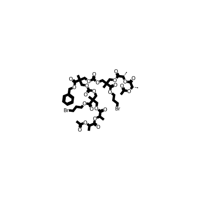 CC(=O)OC(C)C(=O)OC(C)C(=O)OCC(C)(COC(=O)OCC(C)(COC(=O)OCC(C)(COC(=O)[C@H](C)OC(=O)[C@H](C)OC(C)=O)C(=O)OCCCBr)C(=O)OCc1ccccc1)C(=O)OCCCBr